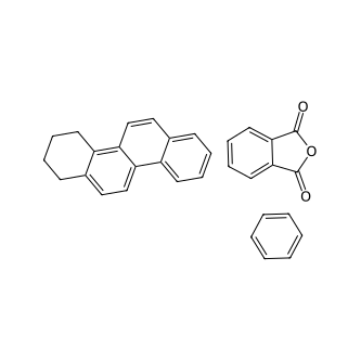 O=C1OC(=O)c2ccccc21.c1ccc2c(c1)ccc1c3c(ccc12)CCCC3.c1ccccc1